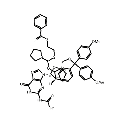 COc1ccc(C(OC[C@]23CO[C@@H](C2OP(SCCSC(=O)c2ccccc2)N2CCCC2)[C@H](n2cnc4c(=O)[nH]c(NC(=O)C(C)C)nc42)O3)(c2ccccc2)c2ccc(OC)cc2)cc1